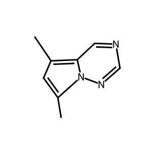 Cc1cc(C)n2ncncc12